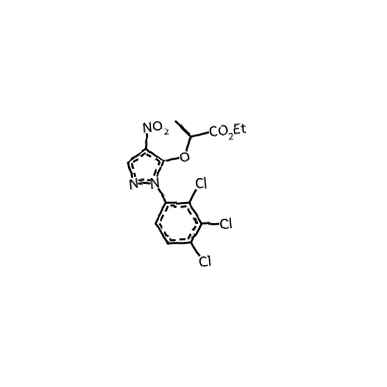 CCOC(=O)C(C)Oc1c([N+](=O)[O-])cnn1-c1ccc(Cl)c(Cl)c1Cl